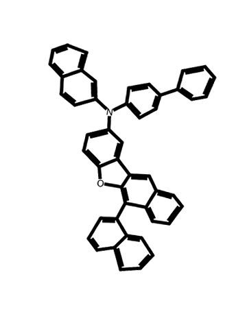 c1ccc(-c2ccc(N(c3ccc4ccccc4c3)c3ccc4oc5c(-c6cccc7ccccc67)c6ccccc6cc5c4c3)cc2)cc1